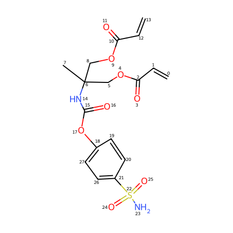 C=CC(=O)OCC(C)(COC(=O)C=C)NC(=O)Oc1ccc(S(N)(=O)=O)cc1